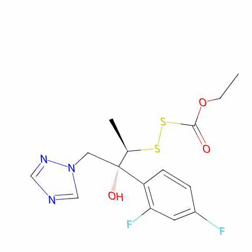 CCOC(=O)SS[C@H](C)[C@](O)(Cn1cncn1)c1ccc(F)cc1F